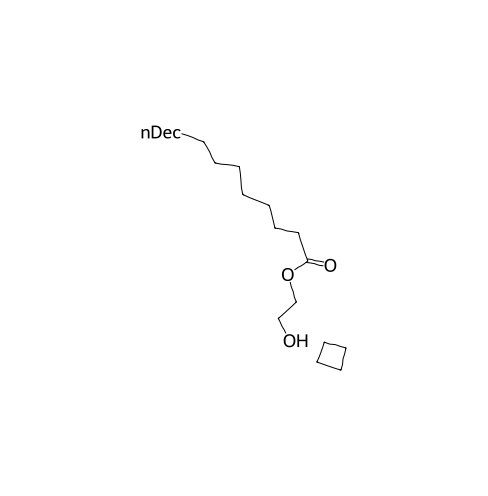 C1CCC1.CCCCCCCCCCCCCCCCCC(=O)OCCO